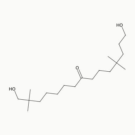 CC(C)(CO)CCCCCC(=O)CCCC(C)(C)CCCO